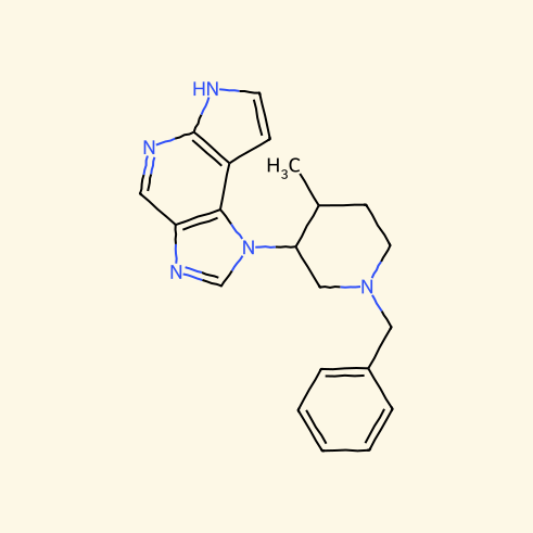 CC1CCN(Cc2ccccc2)CC1n1cnc2cnc3[nH]ccc3c21